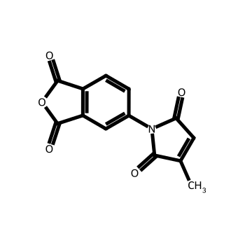 CC1=CC(=O)N(c2ccc3c(c2)C(=O)OC3=O)C1=O